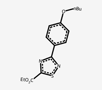 CCCCOc1ccc(-c2nsc(C(=O)OCC)n2)cc1